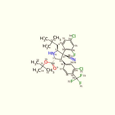 CC(C)(C)C[C@@H]1N[C@@H](C(=O)OC(C)(C)C)[C@H](c2ccc(C(F)(F)F)c(Cl)c2)[C@@]1(C#N)c1ccc(Cl)cc1F